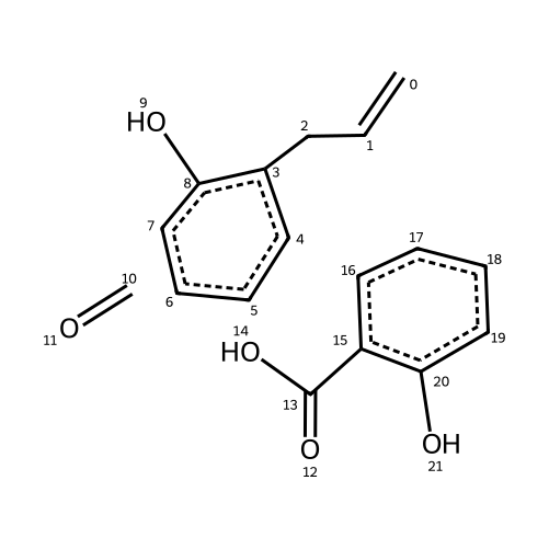 C=CCc1ccccc1O.C=O.O=C(O)c1ccccc1O